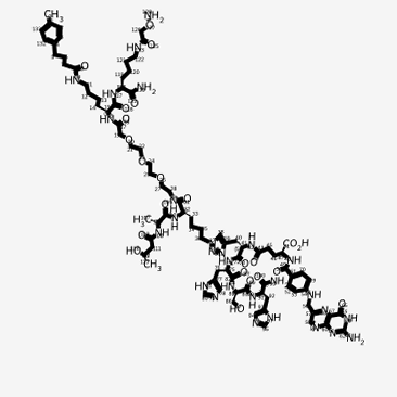 Cc1ccc(CCCC(=O)NCCCC[C@H](NC(=O)COCCOCCOCCNC(=O)[C@H](CCCCn2cc(C[C@H](NC(=O)CC[C@H](NC(=O)c3ccc(NCc4cnc5nc(N)[nH]c(=O)c5n4)cc3)C(=O)O)C(=O)N[C@H](Cc3cnc[nH]3)C(=O)N[C@H](CO)C(=O)N[C@H](Cc3cnc[nH]3)C(N)=O)nn2)NC(=O)[C@@H](C)NC(=O)C[C@H](C)O)C(=O)N[C@@H](CCCCNC(=O)CON)C(N)=O)cc1